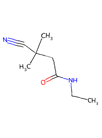 CCNC(=O)CC(C)(C)C#N